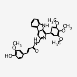 COc1cc(/C=C/C(=O)NCc2cc3c([nH]c4ccccc43)c(-c3cc(OC)c(OC)c(OC)c3)n2)ccc1O